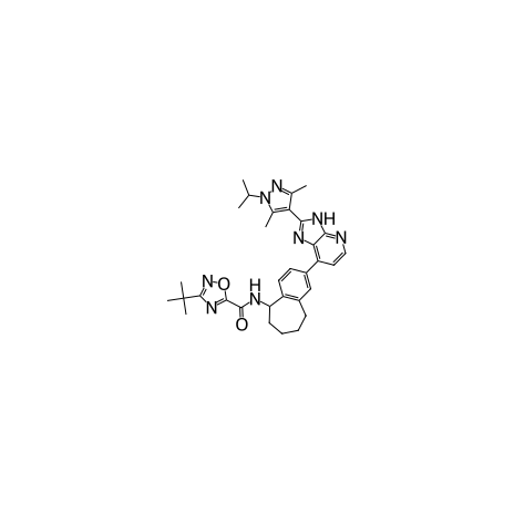 Cc1nn(C(C)C)c(C)c1-c1nc2c(-c3ccc4c(c3)CCCCC4NC(=O)c3nc(C(C)(C)C)no3)ccnc2[nH]1